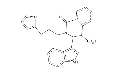 O=C(O)C1c2ccccc2C(=O)N(CCCc2ccco2)C1c1c[nH]c2ccccc12